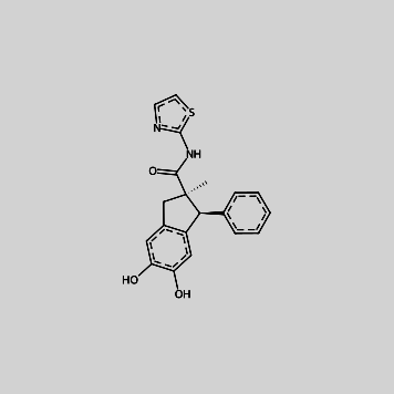 C[C@@]1(C(=O)Nc2nccs2)Cc2cc(O)c(O)cc2[C@@H]1c1ccccc1